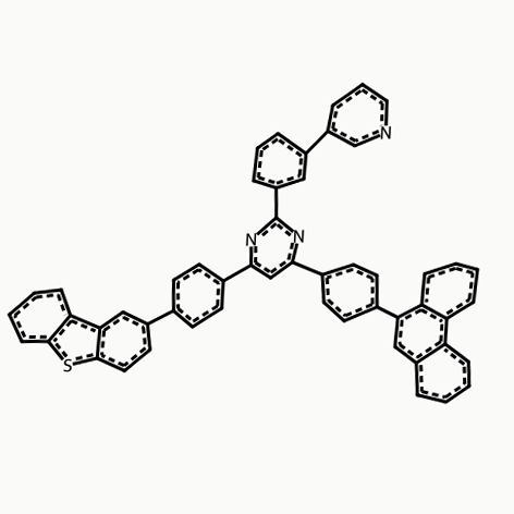 c1cncc(-c2cccc(-c3nc(-c4ccc(-c5ccc6sc7ccccc7c6c5)cc4)cc(-c4ccc(-c5cc6ccccc6c6ccccc56)cc4)n3)c2)c1